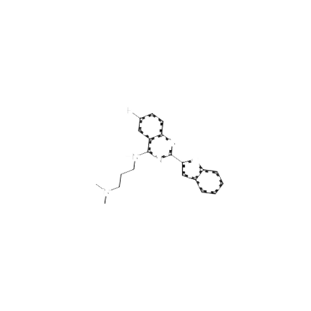 CN(C)CCCNc1nc(-c2cc3ccccc3o2)nc2ccc(F)cc12